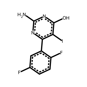 Nc1nc(O)c(I)c(-c2cc(F)ccc2F)n1